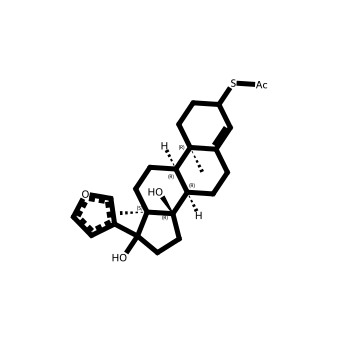 CC(=O)SC1C=C2CC[C@@H]3[C@@H](CC[C@]4(C)C(O)(c5ccoc5)CC[C@@]34O)[C@@]2(C)CC1